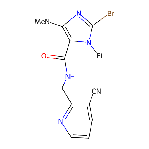 CCn1c(Br)nc(NC)c1C(=O)NCc1ncccc1C#N